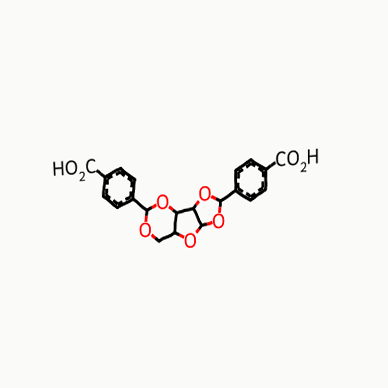 O=C(O)c1ccc(C2OCC3OC4OC(c5ccc(C(=O)O)cc5)OC4C3O2)cc1